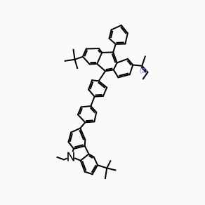 C/C=C(/C)c1ccc2c(-c3ccc(-c4ccc(-c5ccc6c(c5)c5cc(C(C)(C)C)ccc5n6CC)cc4)cc3)c3cc(C(C)(C)C)ccc3c(-c3ccccc3)c2c1